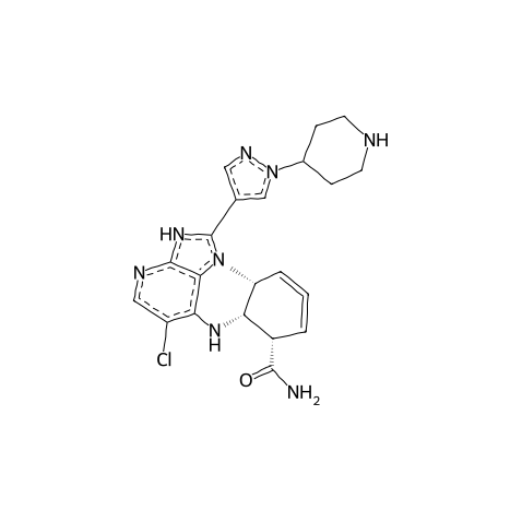 C[C@@H]1C=C=C[C@H](C(N)=O)[C@@H]1Nc1c(Cl)cnc2[nH]c(-c3cnn(C4CCNCC4)c3)nc12